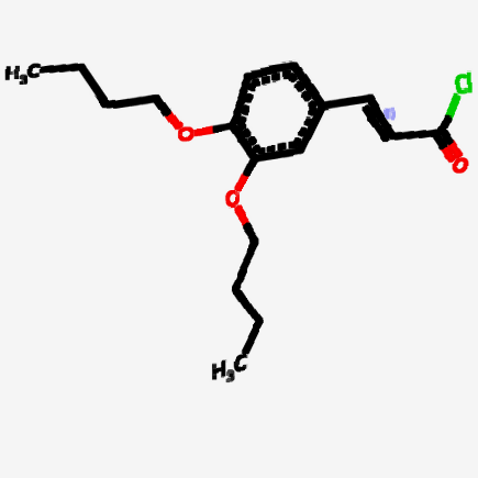 CCCCOc1ccc(/C=C/C(=O)Cl)cc1OCCCC